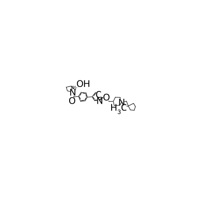 CC1(CN2CCC(COc3ccc(-c4ccc(C(=O)N5CCC[C@@H]5CO)cc4)cn3)CC2)CCCC1